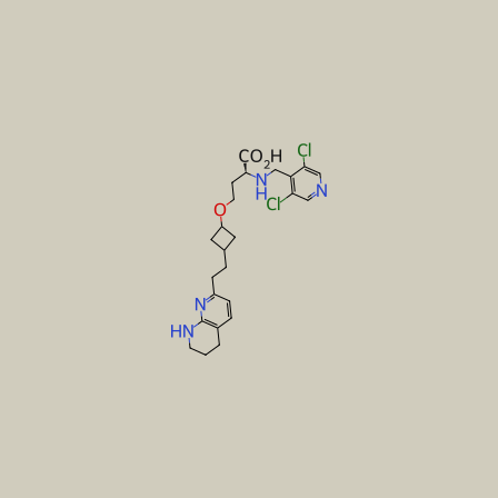 O=C(O)[C@H](CCOC1CC(CCc2ccc3c(n2)NCCC3)C1)NCc1c(Cl)cncc1Cl